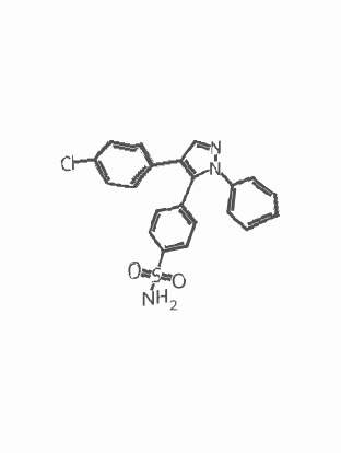 NS(=O)(=O)c1ccc(-c2c(-c3ccc(Cl)cc3)cnn2-c2ccccc2)cc1